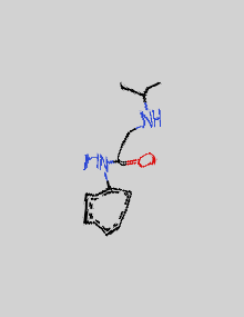 CC(C)NCC(=O)Nc1ccccc1